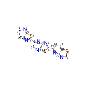 c1cnc2sc(-c3cnc4sc(-c5ccc6scnc6n5)nc4n3)nc2c1